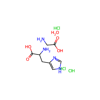 Cl.Cl.Cl.NC(Cc1c[nH]cn1)C(=O)O.NCC(=O)O.O